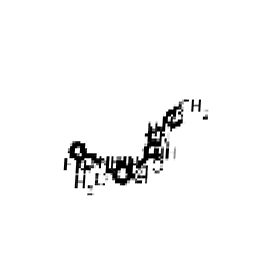 CN1CCN(c2ncc3cc(C(=O)Nc4cc(C(=O)N[C@H](CN)Cc5cccc(F)c5)ccc4Cl)c(=O)[nH]c3n2)CC1